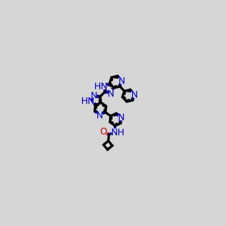 O=C(Nc1cncc(-c2cc3c(-c4nc5c(-c6cccnc6)nccc5[nH]4)n[nH]c3cn2)c1)C1CCC1